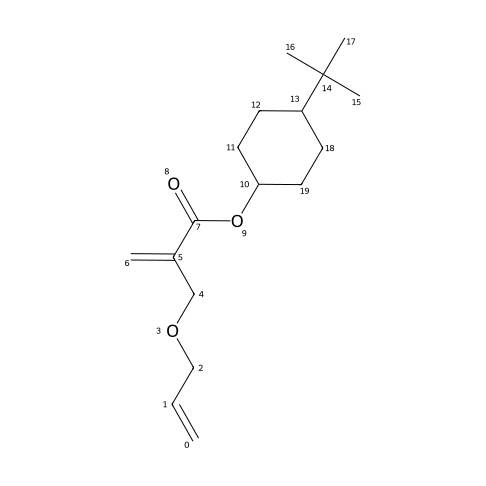 C=CCOCC(=C)C(=O)OC1CCC(C(C)(C)C)CC1